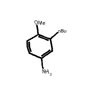 CCCCc1cc(N)ccc1OC